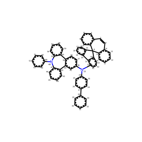 C1=Cc2ccccc2C2(c3ccccc31)c1ccccc1-c1c(N(c3ccc(-c4ccccc4)cc3)c3ccc4c(c3)-c3ccccc3N(c3ccccc3)c3ccccc3-4)cccc12